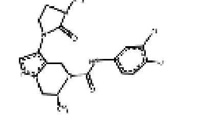 C[C@H]1Cn2ncc(N3CCN(C)C3=O)c2CN1C(=O)Nc1ccc(F)c(Cl)c1